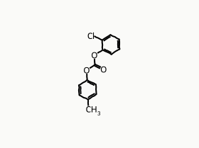 Cc1ccc(OC(=O)Oc2ccccc2Cl)cc1